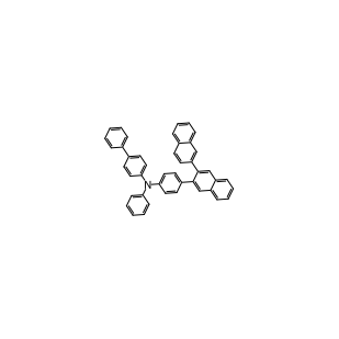 c1ccc(-c2ccc(N(c3ccccc3)c3ccc(-c4cc5ccccc5cc4-c4ccc5ccccc5c4)cc3)cc2)cc1